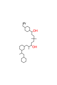 CC(C)CC1CCC(C(O)CCC(C)(C)CCC(O)C(C)CC2CCCC(C(C)CC3CCCCC3)C2)CC1